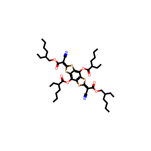 CCCCC(CC)COC(=O)C(C#N)=C1Sc2c(OC(=O)C(CC)CCCC)c3c(c(OC(=O)C(CC)CCCC)c2S1)SC(=C(C#N)C(=O)OCC(CC)CCCC)S3